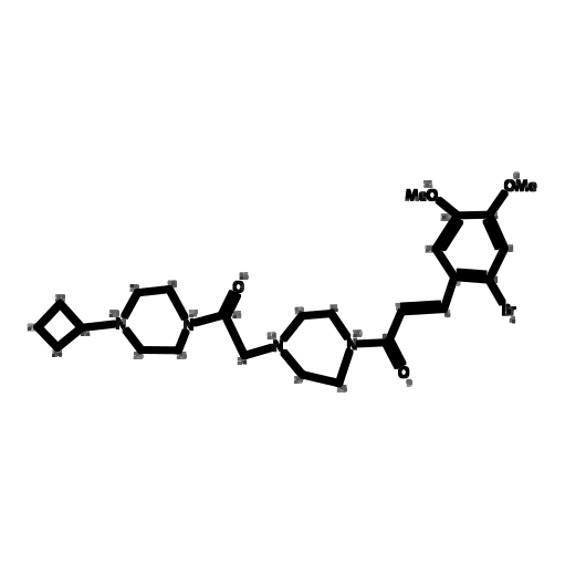 COc1cc(Br)c(C=CC(=O)N2CCN(CC(=O)N3CCN(C4CCC4)CC3)CC2)cc1OC